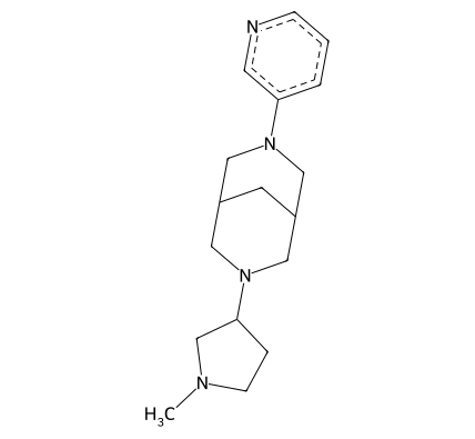 CN1CCC(N2CC3CC(CN(c4cccnc4)C3)C2)C1